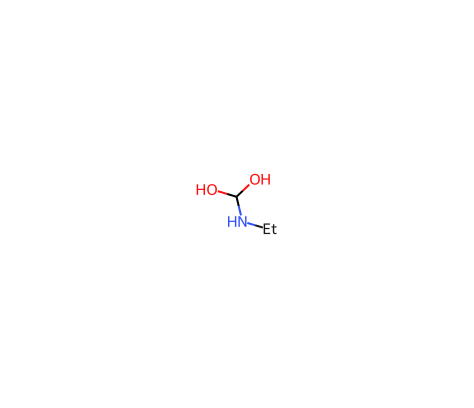 CCNC(O)O